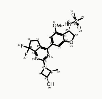 COc1cc(-c2nc(N3C[C@@H](O)[C@@H]3C)nc3c2CCC3(F)F)cc2c1[C@H](NS(C)(=O)=O)CO2